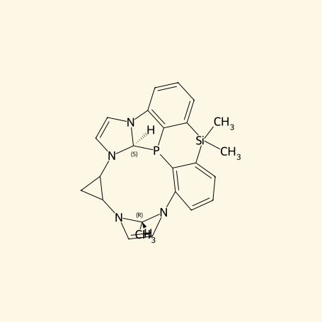 C[C@H]1N2C=CN1C1CC1N1C=CN3c4cccc5c4P(c4c2cccc4[Si]5(C)C)[C@H]31